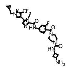 Cn1c(-c2cn(CC3CC3)nc2C(F)(F)F)cnc1C(=O)Nc1ccc(C(=O)N2CCN(C(=O)NC3CC(N)C3)CC2)c(F)c1